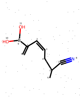 C=C(/C=C\CC(C)C#N)B(O)O